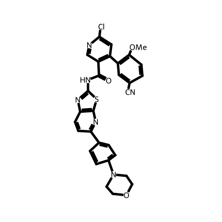 COc1ccc(C#N)cc1-c1cc(Cl)ncc1C(=O)Nc1nc2ccc(-c3ccc(N4CCOCC4)cc3)nc2s1